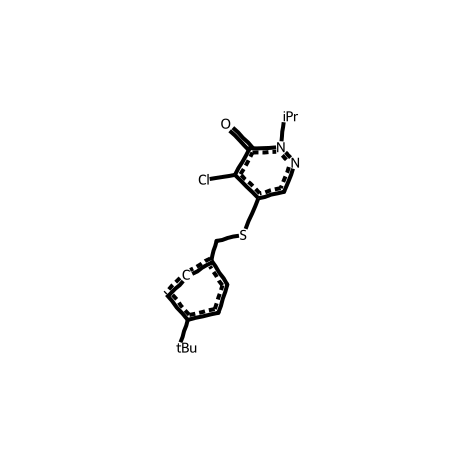 CC(C)n1ncc(SCc2ccc(C(C)(C)C)cc2)c(Cl)c1=O